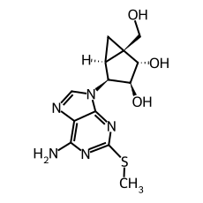 CSc1nc(N)c2ncn([C@@H]3[C@H](O)[C@@H](O)[C@@]4(CO)C[C@H]34)c2n1